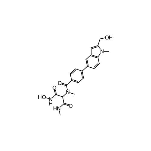 CNC(=O)C(C(=O)NO)N(C)C(=O)c1ccc(-c2ccc3c(c2)cc(CO)n3C)cc1